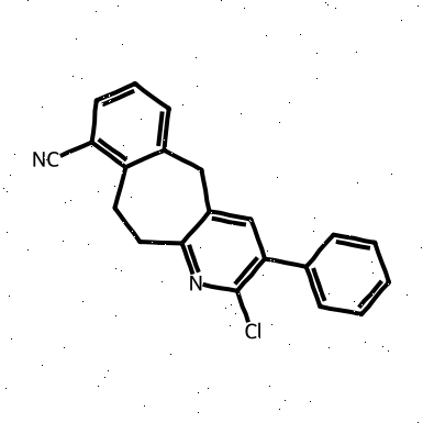 N#Cc1cccc2c1CCc1nc(Cl)c(-c3ccccc3)cc1C2